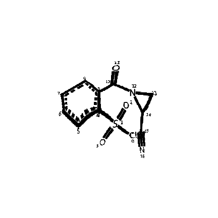 CS(=O)(=O)c1ccccc1C(=O)N1CC1C#N